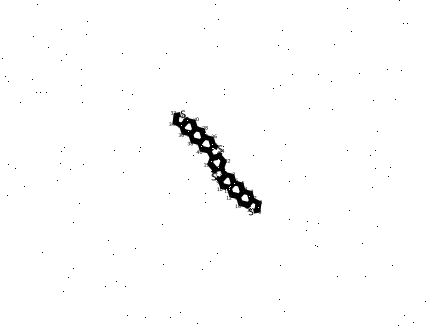 c1cc2cc3cc4cc5c(cc4cc3cc2s1)sc1cc2c(cc15)sc1cc3cc4cc5sccc5cc4cc3cc12